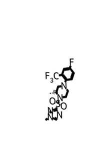 C[C@@H]1CN(c2ccc(F)cc2C(F)(F)F)CCN1S(=O)(=O)c1ncn(C)n1